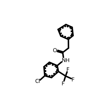 O=C(Cc1ccccc1)Nc1ccc(Cl)cc1C(F)(F)F